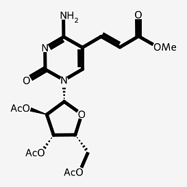 COC(=O)C=Cc1cn([C@@H]2O[C@H](COC(C)=O)[C@H](OC(C)=O)[C@H]2OC(C)=O)c(=O)nc1N